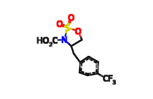 O=C(O)N1C(Cc2ccc(C(F)(F)F)cc2)COS1(=O)=O